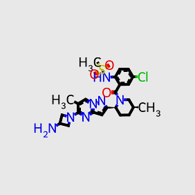 Cc1cn2nc([C@@H]3CC[C@H](C)CN3C(=O)c3cc(Cl)ccc3NS(C)(=O)=O)cc2nc1N1CC(N)C1